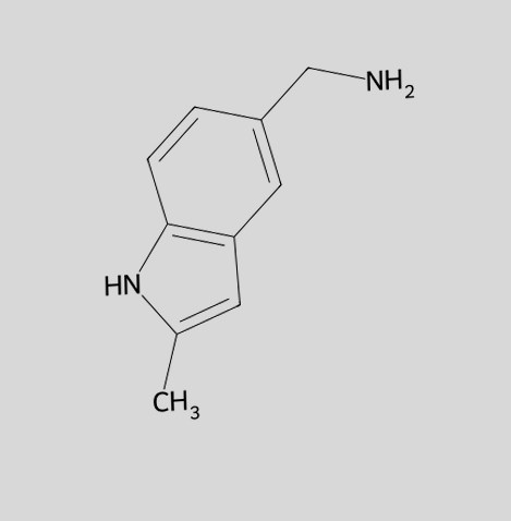 Cc1cc2cc(CN)ccc2[nH]1